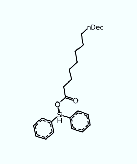 CCCCCCCCCCCCCCCCCC(=O)O[SiH](c1ccccc1)c1ccccc1